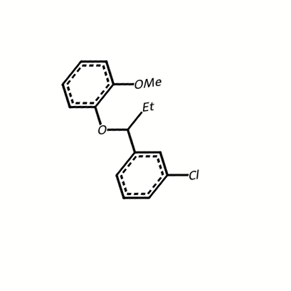 CCC(Oc1ccccc1OC)c1cccc(Cl)c1